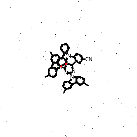 Cc1ccc2c(c1)c1cc(C)ccc1n2-c1nc(-c2cc(C#N)ccc2-n2c3ccccc3c3ccccc32)nc(-n2c3ccc(C)cc3c3cc(C)ccc32)n1